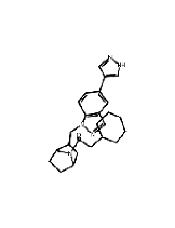 O=C(CC1CCCCC1)N1C2CCC1C(Cn1ncc3cc(-c4cn[nH]c4)ccc31)C2